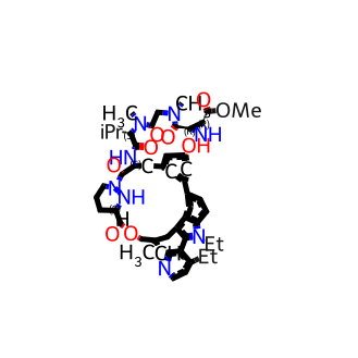 CCc1ccncc1-c1c2c3cc(ccc3n1CC)-c1cc(O)cc(c1)C[C@H](NC(=O)[C@H](C(C)C)N(C)C(=O)CN(C)C(=O)[C@@H]1N[C@H]1C(=O)OC)C(=O)N1CCC[C@H](N1)C(=O)OCC(C)(C)C2